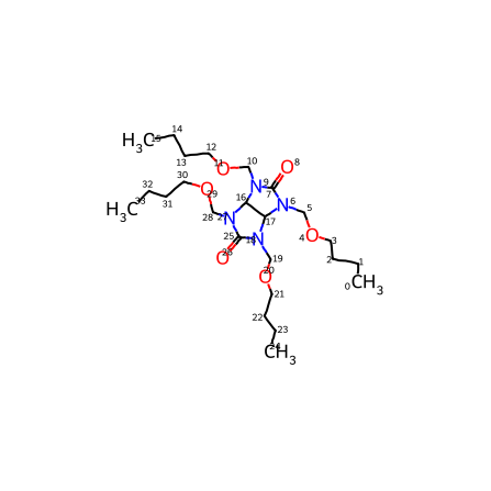 CCCCOCN1C(=O)N(COCCCC)C2C1N(COCCCC)C(=O)N2COCCCC